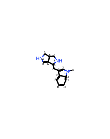 Cn1cc(CC2NCC3CNC=C32)c2ccccc21